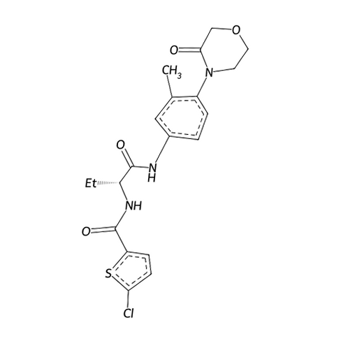 CC[C@@H](NC(=O)c1ccc(Cl)s1)C(=O)Nc1ccc(N2CCOCC2=O)c(C)c1